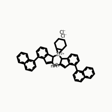 CCCC1=Cc2c(-c3cccc4ccccc34)cccc2[CH]1[Zr+2]1([CH]2C(CCC)=Cc3c(-c4cccc5ccccc45)cccc32)[CH]2CCCC[CH]21.[Cl-].[Cl-]